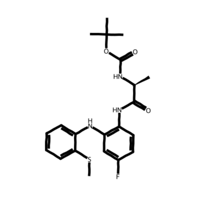 CSc1ccccc1Nc1cc(F)ccc1NC(=O)[C@H](C)NC(=O)OC(C)(C)C